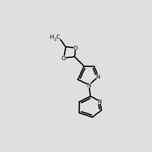 CC1OC(c2cnn(-c3ccccn3)c2)O1